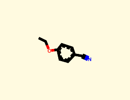 CCOc1[c]cc(C#N)cc1